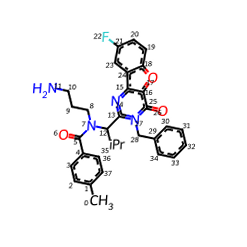 Cc1ccc(C(=O)N(CCCN)C(c2nc3c(oc4ccc(F)cc43)c(=O)n2Cc2ccccc2)C(C)C)cc1